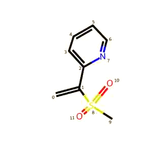 C=C(c1ccccn1)S(C)(=O)=O